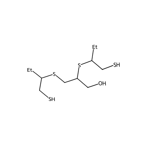 CCC(CS)SCC(CO)SC(CC)CS